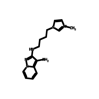 C[n+]1ccn(CCCCNc2nn3ccccc3c2N)c1